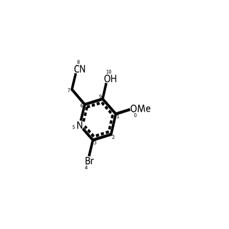 COc1cc(Br)nc(CC#N)c1O